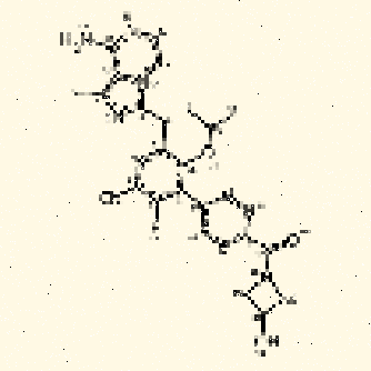 Cc1nc(Cc2cc(Cl)c(F)c(-c3ccc(C(=O)N4CC(O)C4)nc3)c2OC(C)C)n2ccnc(N)c12